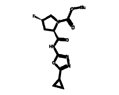 CC(C)(C)OC(=O)N1C[C@@H](F)C[C@@H]1C(=O)Nc1nnc(C2CC2)o1